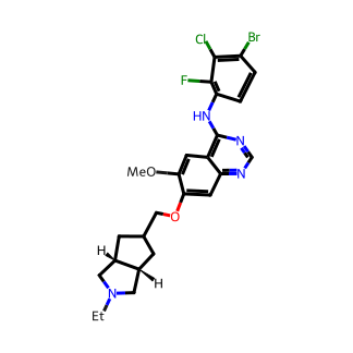 CCN1C[C@H]2CC(COc3cc4ncnc(Nc5ccc(Br)c(Cl)c5F)c4cc3OC)C[C@H]2C1